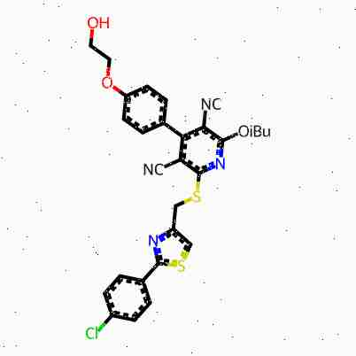 [C-]#[N+]c1c(OCC(C)C)nc(SCc2csc(-c3ccc(Cl)cc3)n2)c(C#N)c1-c1ccc(OCCO)cc1